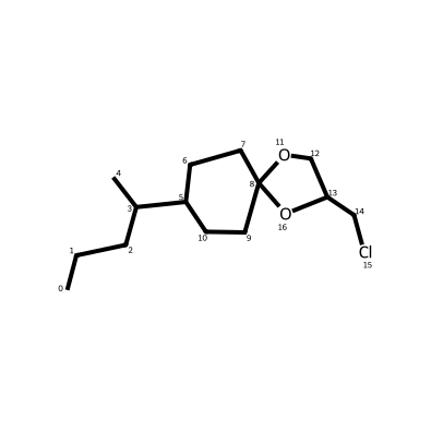 CCCC(C)C1CCC2(CC1)OCC(CCl)O2